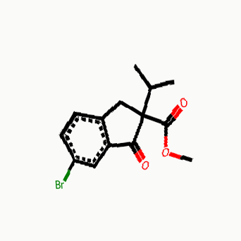 COC(=O)C1(C(C)C)Cc2ccc(Br)cc2C1=O